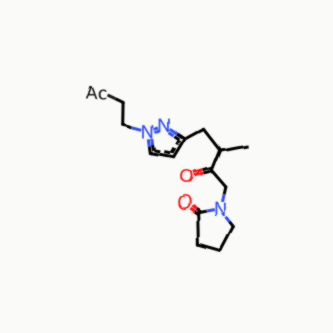 CC(=O)CCn1ccc(CC(C)C(=O)CN2CCCC2=O)n1